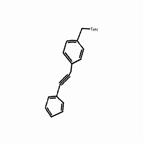 [TeH]Cc1ccc(C#Cc2cc[c]cc2)cc1